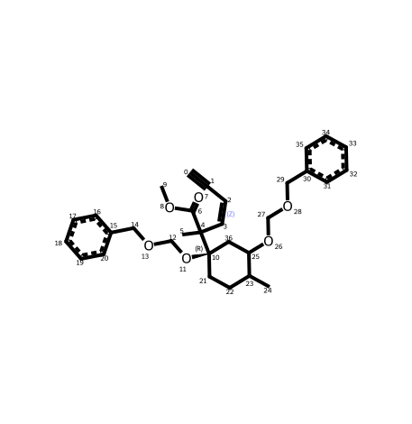 C#C/C=C\C(C)(C(=O)OC)[C@@]1(OCOCc2ccccc2)CCC(C)C(OCOCc2ccccc2)C1